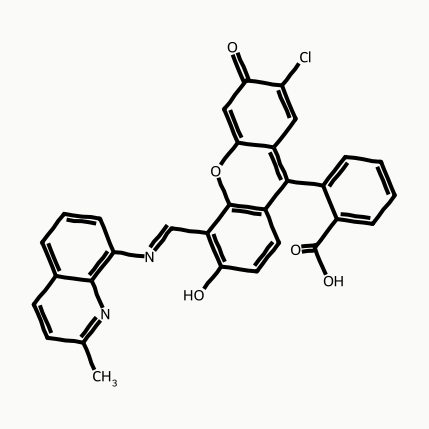 Cc1ccc2cccc(/N=C/c3c(O)ccc4c(-c5ccccc5C(=O)O)c5cc(Cl)c(=O)cc-5oc34)c2n1